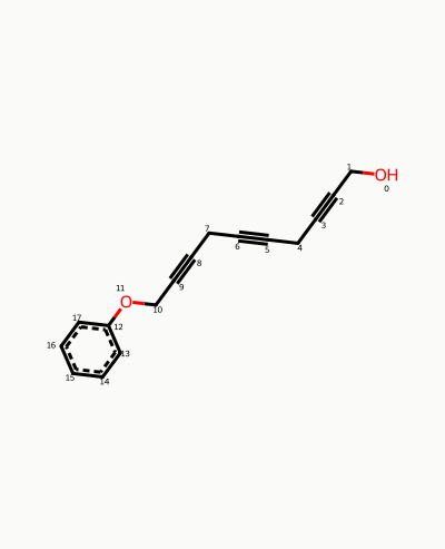 OCC#CCC#CCC#CCOc1ccccc1